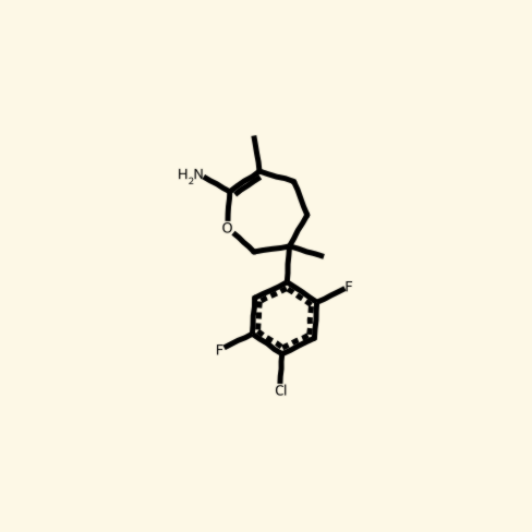 CC1=C(N)OCC(C)(c2cc(F)c(Cl)cc2F)CC1